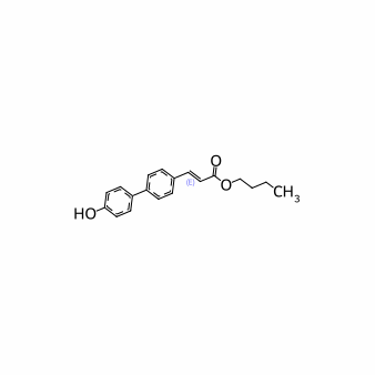 CCCCOC(=O)/C=C/c1ccc(-c2ccc(O)cc2)cc1